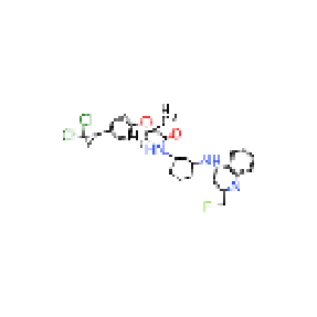 CC(C)(Oc1ccc(C2CC2(Cl)Cl)cc1)C(=O)N[C@@H]1CCC[C@H](Nc2cc(CF)nc3ccccc23)C1